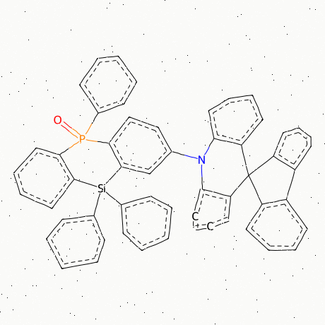 O=P1(c2ccccc2)c2ccccc2[Si](c2ccccc2)(c2ccccc2)c2cc(N3c4ccccc4C4(c5ccccc5-c5ccccc54)c4ccccc43)ccc21